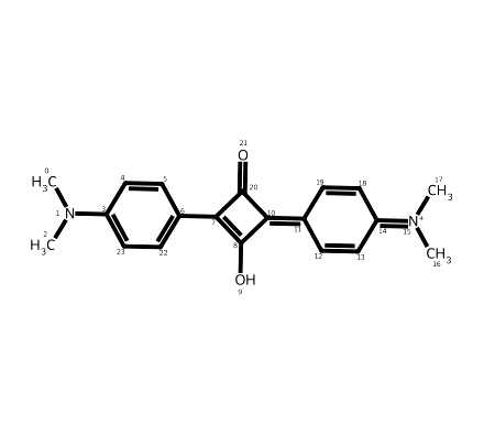 CN(C)c1ccc(C2=C(O)C(=C3C=CC(=[N+](C)C)C=C3)C2=O)cc1